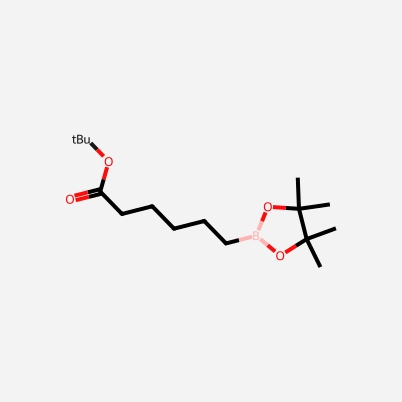 CC(C)(C)OC(=O)CCCCCB1OC(C)(C)C(C)(C)O1